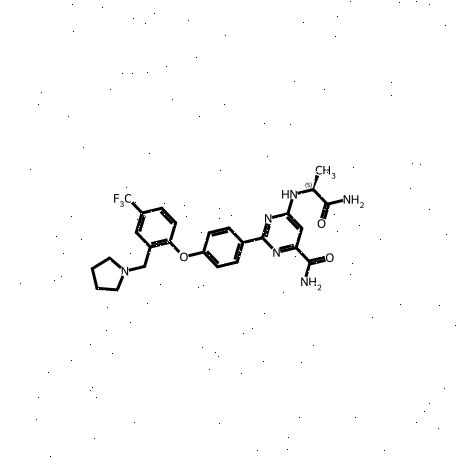 C[C@H](Nc1cc(C(N)=O)nc(-c2ccc(Oc3ccc(C(F)(F)F)cc3CN3CCCC3)cc2)n1)C(N)=O